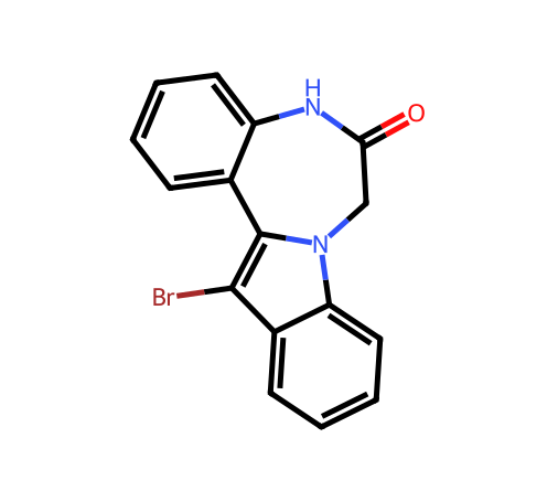 O=C1Cn2c(c(Br)c3ccccc32)-c2ccccc2N1